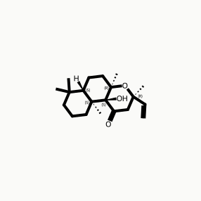 C=C[C@@]1(C)CC(=O)[C@@]2(O)[C@@](C)(CC[C@H]3C(C)(C)CCC[C@@]32C)O1